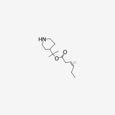 CC/C=C\CC(=O)OC(C)(C)C1CCNCC1